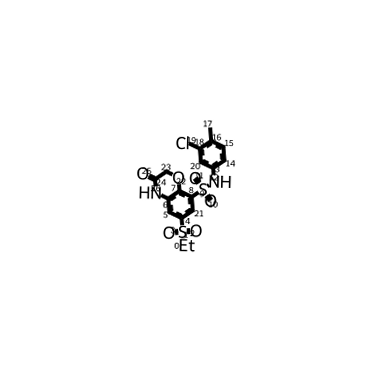 CCS(=O)(=O)c1cc2c(c(S(=O)(=O)Nc3ccc(C)c(Cl)c3)c1)OCC(=O)N2